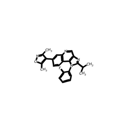 Cc1noc(C)c1-c1ccc2c(c1)ncc1nc(C(C)C)n(-c3ccccc3F)c12